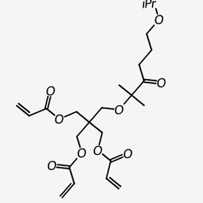 C=CC(=O)OCC(COC(=O)C=C)(COC(=O)C=C)COC(C)(C)C(=O)CCCOC(C)C